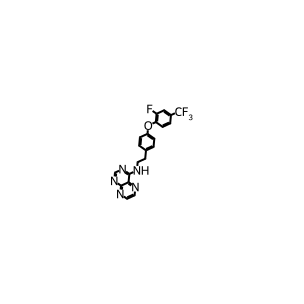 Fc1cc(C(F)(F)F)ccc1Oc1ccc(CCNc2ncnc3nccnc23)cc1